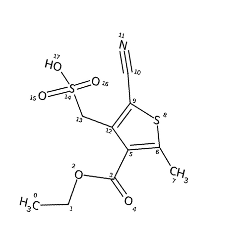 CCOC(=O)c1c(C)sc(C#N)c1CS(=O)(=O)O